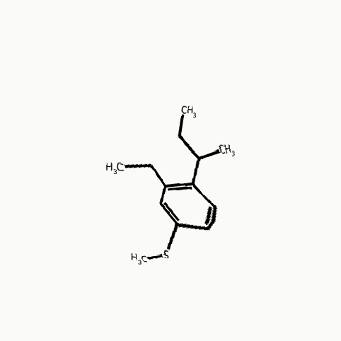 CC[C](C)c1ccc(SC)cc1CC